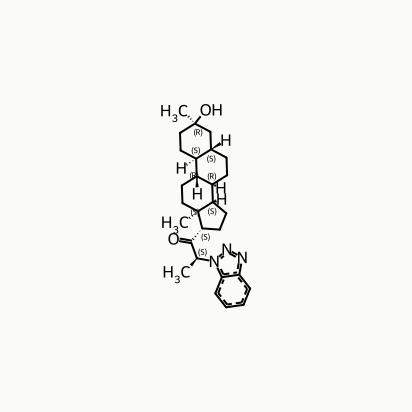 C[C@@H](C(=O)[C@H]1CC[C@H]2[C@@H]3CC[C@H]4C[C@](C)(O)CC[C@@H]4[C@H]3CC[C@]12C)n1nnc2ccccc21